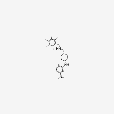 Cc1c(C)c(C)c(CNC[C@H]2CC[C@@H](Nc3nccc(N(C)C)n3)CC2)c(C)c1C